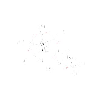 C[Si](C)(C)O[Si](C)(C)O[Si](C)(C)O[Si](C)(C)O[Si](C)(C)O[Si](C)(C)O[Si](C)(C)C